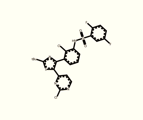 CC(C)(C)c1nc(-c2cccc(NS(=O)(=O)c3cc(F)ccc3F)c2Cl)c(-c2ccnc(Cl)n2)s1